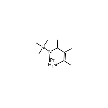 CC([SiH3])=C(C)C(C)N(C(C)C)[Si](C)(C)C